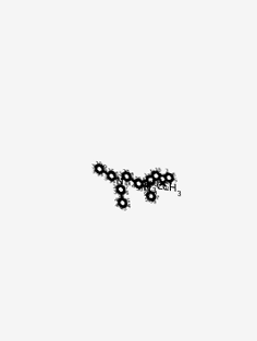 CC1(C)c2ccccc2-c2ccc3cc4c5cc(-c6cccc(N(c7ccc(-c8ccccc8)cc7)c7ccc(-c8ccccc8)cc7)c6)ccc5n(-c5ccccc5)c4cc3c21